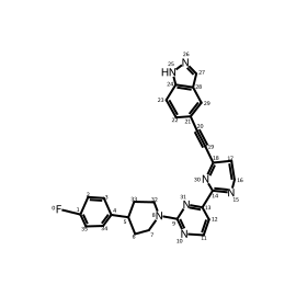 Fc1ccc(C2CCN(c3nccc(-c4nccc(C#Cc5ccc6[nH]ncc6c5)n4)n3)CC2)cc1